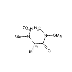 CC[C@@H](C(=O)N(C)OC)N(C(=O)O)C(C)(C)C